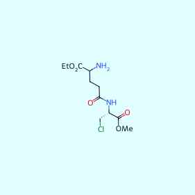 CCOC(=O)C(N)CCC(=O)N[C@@H](CCl)C(=O)OC